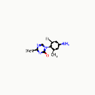 CCc1cc(N)cc(C)c1-n1cnc(NC)nc1=O